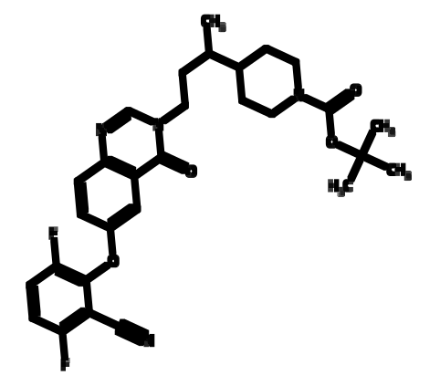 CC(CCn1cnc2ccc(Oc3c(F)ccc(F)c3C#N)cc2c1=O)C1CCN(C(=O)OC(C)(C)C)CC1